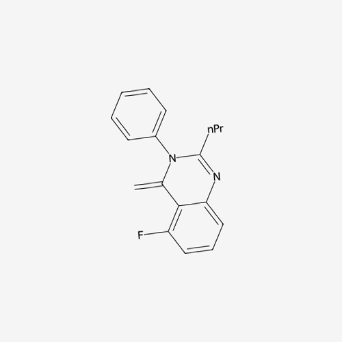 C=C1c2c(F)cccc2N=C(CCC)N1c1ccccc1